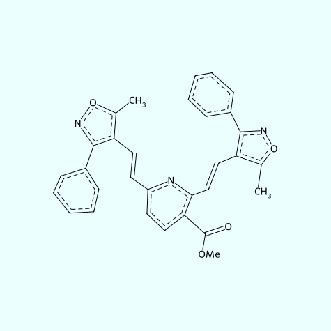 COC(=O)c1ccc(C=Cc2c(-c3ccccc3)noc2C)nc1C=Cc1c(-c2ccccc2)noc1C